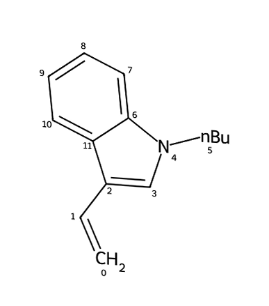 C=Cc1cn(CCCC)c2ccccc12